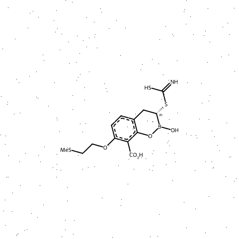 CSCCOc1ccc2c(c1C(=O)O)OB(O)[C@@H](SC(=N)S)C2